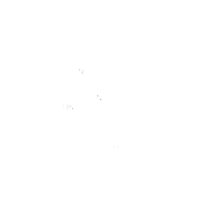 Cc1csc(Nc2cc(Oc3c(C)cccc3Cl)ccn2)n1